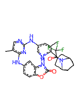 Cc1cnc(Nc2cnc(C3CC4CCC(C3)N4C(=O)C(F)(F)F)c(C)c2)nc1Nc1ccc2oc(=O)[nH]c2c1